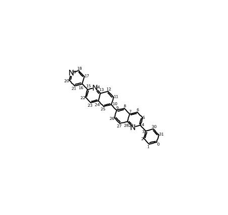 c1ccc(-c2ccc3cc(-c4ccc5nc(-c6ccncc6)ccc5c4)ccc3n2)cc1